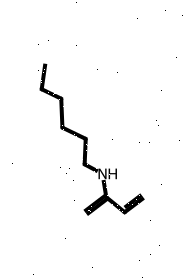 C=CC(=C)NCCCCCC